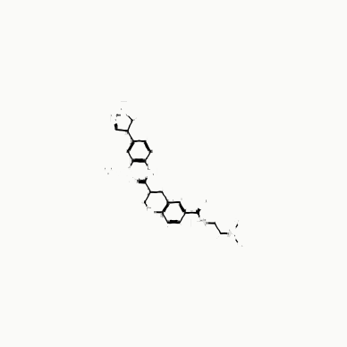 COc1cc(C2C=NNC2)ccc1NC(=O)C1COc2ccc(C(=O)NCCN(C)C)cc2C1